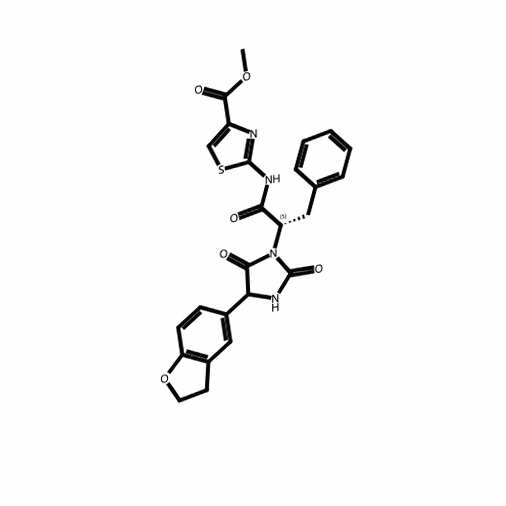 COC(=O)c1csc(NC(=O)[C@H](Cc2ccccc2)N2C(=O)NC(c3ccc4c(c3)CCO4)C2=O)n1